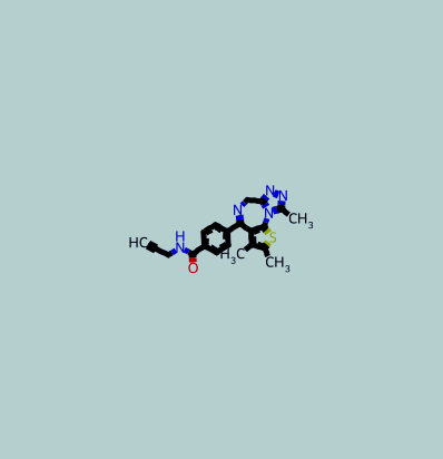 C#CCNC(=O)c1ccc(C2=NCc3nnc(C)n3-c3sc(C)c(C)c32)cc1